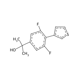 CC(C)(O)c1cc(F)c(-c2ccsc2)c(F)c1